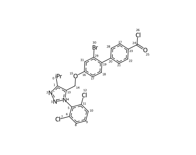 CC(C)c1nnn(-c2c(Cl)cccc2Cl)c1COc1ccc(-c2ccc(C(=O)Cl)cc2)c(Br)c1